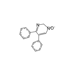 [O-][N+]1C=C(c2ccccc2)C(c2ccccc2)=NC1